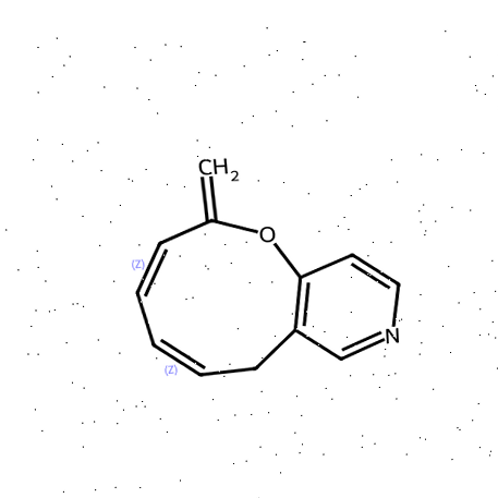 C=C1/C=C\C=C/Cc2cnccc2O1